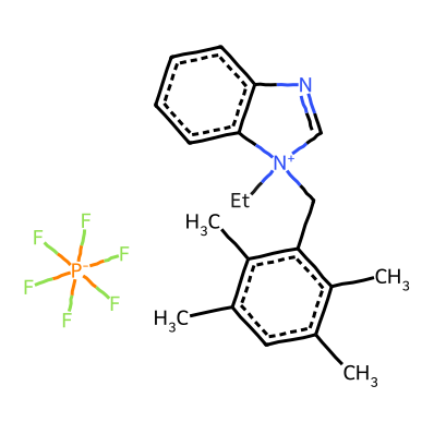 CC[N+]1(Cc2c(C)c(C)cc(C)c2C)C=Nc2ccccc21.F[P-](F)(F)(F)(F)F